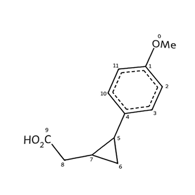 COc1ccc(C2CC2CC(=O)O)cc1